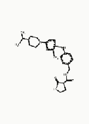 Cc1nc(N2CCC(C(C)C)CC2)ccc1Nc1ccc(CNC(=O)C2CCNC2=O)cc1